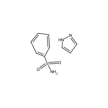 NS(=O)(=O)c1ccccc1.c1cn[nH]c1